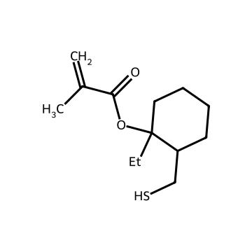 C=C(C)C(=O)OC1(CC)CCCCC1CS